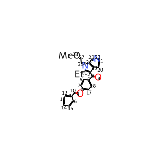 CCc1c(C(=O)c2ccc(OCc3ccccc3)cc2)c2ccncc2n1CCOC